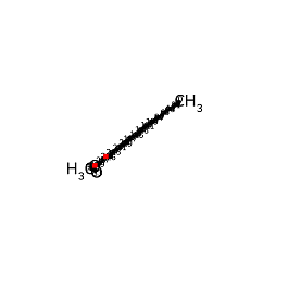 CCCCCCCCCCCCCCCCCC=CCCCCCCCCCCCOC(C)=O